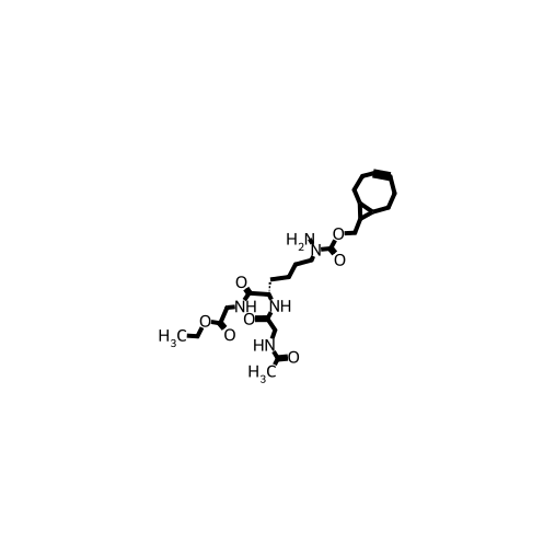 CCOC(=O)CNC(=O)[C@H](CCCCN(N)C(=O)OCC1C2CCC#CCCC21)NC(=O)CNC(C)=O